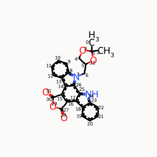 CC1(C)OCC(Cn2c3ccccc3c3c4c(c5c6ccccc6[nH]c5c32)C(=O)OC4=O)O1